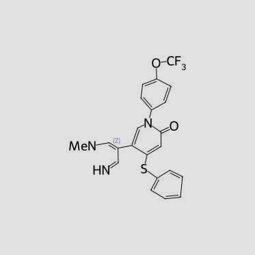 CN/C=C(\C=N)c1cn(-c2ccc(OC(F)(F)F)cc2)c(=O)cc1Sc1ccccc1